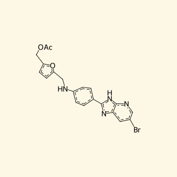 CC(=O)OCc1ccc(CNc2ccc(-c3nc4cc(Br)cnc4[nH]3)cc2)o1